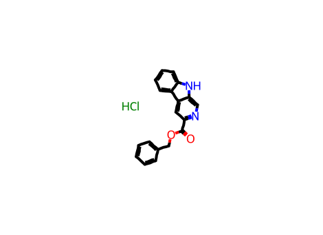 Cl.O=C(OCc1ccccc1)c1cc2c(cn1)[nH]c1ccccc12